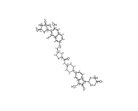 Cn1c(=O)n(C2CCC(=O)NC2)c2ccc(C3CCN(CC(=O)N4CC[C@@H](COc5ccc6cc(O)c(N7CC(=O)NS7(=O)=O)c(F)c6c5)C4)CC3)cc21